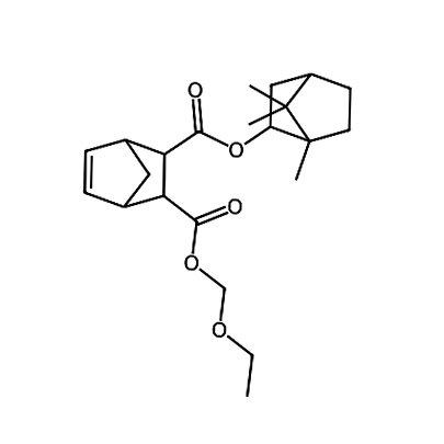 CCOCOC(=O)C1C2C=CC(C2)C1C(=O)OC1CC2CCC1(C)C2(C)C